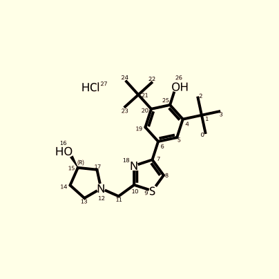 CC(C)(C)c1cc(-c2csc(CN3CC[C@@H](O)C3)n2)cc(C(C)(C)C)c1O.Cl